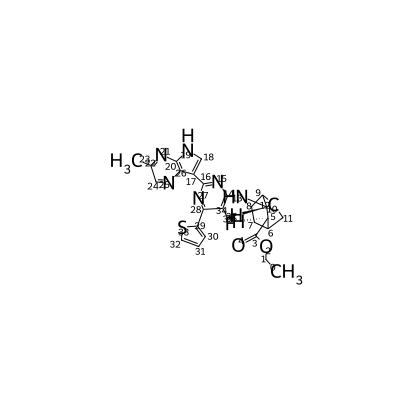 CCOC(=O)[C@@H]1C2CCC(CC2)[C@H]1Nc1nc(-c2c[nH]c3nc(C)cnc23)nc(-c2cccs2)c1F